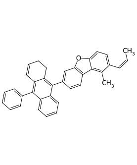 C/C=C\c1ccc2oc3cc(-c4c5c(c(-c6ccccc6)c6ccccc46)C=CCC5)ccc3c2c1C